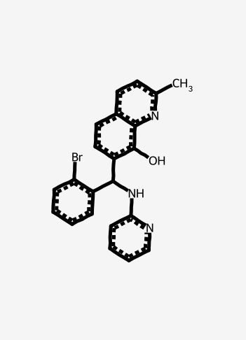 Cc1ccc2ccc(C(Nc3ccccn3)c3ccccc3Br)c(O)c2n1